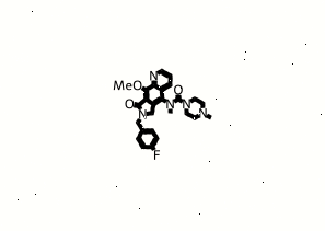 COc1c2c(c(N(C)C(=O)N3CCN(C)CC3)c3cccnc13)CN(Cc1ccc(F)cc1)C2=O